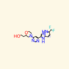 N=C(/C=C\c1ncc(-c2cc(N3CCOC(CCO)C3)ncn2)[nH]1)C(F)F